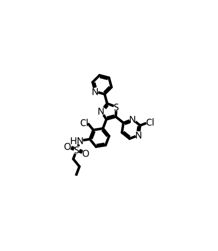 CCCS(=O)(=O)Nc1cccc(-c2nc(-c3ccccn3)sc2-c2ccnc(Cl)n2)c1Cl